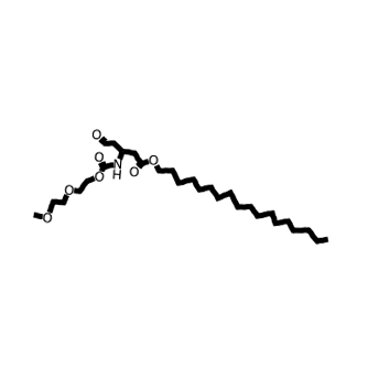 CCCCCCCCCCCCCCCCCCOC(=O)CC(CC=O)NC(=O)OCCOCCOC